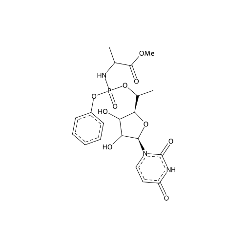 COC(=O)C(C)NP(=O)(Oc1ccccc1)OC(C)[C@H]1O[C@@H](n2ccc(=O)[nH]c2=O)C(O)C1O